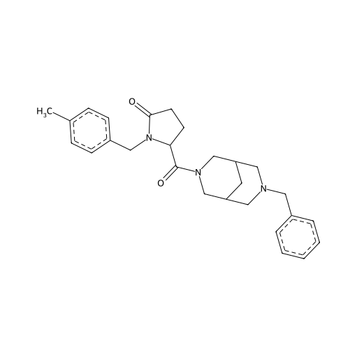 Cc1ccc(CN2C(=O)CCC2C(=O)N2CC3CC(CN(Cc4ccccc4)C3)C2)cc1